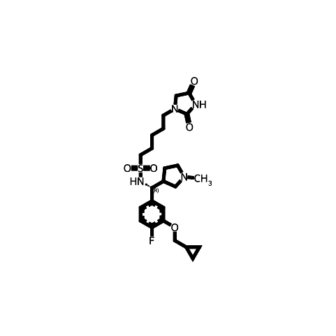 CN1CCC([C@@H](NS(=O)(=O)CCCCCN2CC(=O)NC2=O)c2ccc(F)c(OCC3CC3)c2)C1